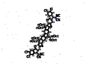 [C-]#[N+]/C(C#N)=C1\C(=C\c2cc3c(s2)-c2cc4c(cc2[Si]3(CCCCCCCC)CCCCCCCC)c2cc3c(cc2n4C(CCCCCCCC)CCCCCCCC)-c2sc(/C=C4\C(=O)c5cc(Cl)c(Cl)cc5\C4=C(\C#N)[N+]#[C-])cc2[Si]3(CCCCCCCC)CCCCCCCC)C(=O)c2cc(Cl)c(Cl)cc21